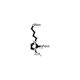 CCCCCCCCCCCCC[n+]1ccn(C)c1CCCCC